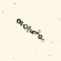 O=C(NCc1ccc(S(=O)(=O)N2CCC(n3nc4ccccc4n3)CC2)s1)c1ccc(Cl)cc1